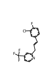 Fc1ccc(C=CCc2[c]c(C(F)(F)F)ccn2)cc1Cl